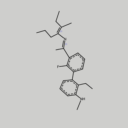 CCCC(/N=C(\C)c1cccc(-c2cccc(NC)c2CC)c1F)=C(/C)CC